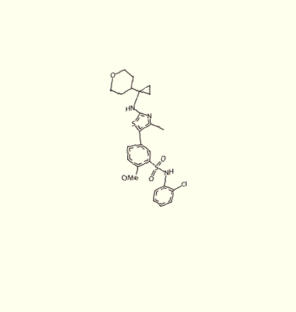 COc1ccc(-c2sc(NC3(C4CCOCC4)CC3)nc2C)cc1S(=O)(=O)Nc1ccccc1Cl